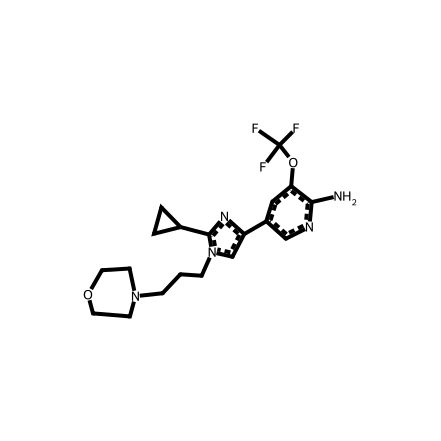 Nc1ncc(-c2cn(CCCN3CCOCC3)c(C3CC3)n2)cc1OC(F)(F)F